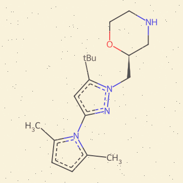 Cc1ccc(C)n1-c1cc(C(C)(C)C)n(C[C@@H]2CNCCO2)n1